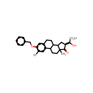 CCOC(=O)/C(O)=C1\CC2C3CCc4cc(OCc5ccccc5)c(CC)cc4C3CCC2(C)C1=O